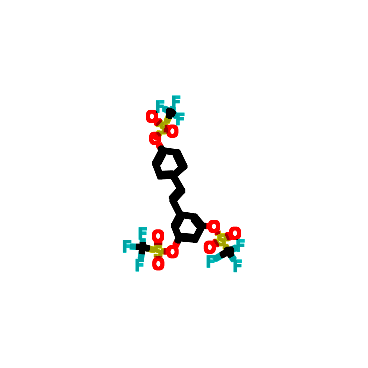 O=S(=O)(Oc1ccc(/C=C/c2cc(OS(=O)(=O)C(F)(F)F)cc(OS(=O)(=O)C(F)(F)F)c2)cc1)C(F)(F)F